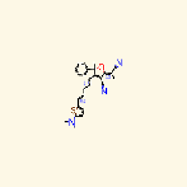 C/C(C#N)=C1/OC(C)(c2ccccc2)C(/C=C/C/C=C/c2ccc(N(C)C)s2)=C1C#N